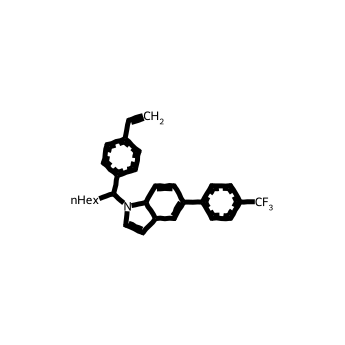 C=Cc1ccc(C(CCCCCC)N2C=CC3C=C(c4ccc(C(F)(F)F)cc4)C=CC32)cc1